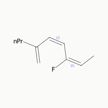 C=C(/C=C\C(F)=C/C)CCC